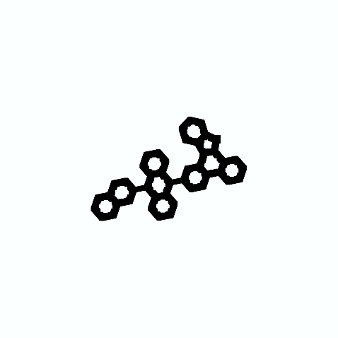 c1ccc2cc(-c3c4ccccc4c(-c4ccc5c6ccccc6c6nc7ccccc7n6c5c4)c4ccccc34)ccc2c1